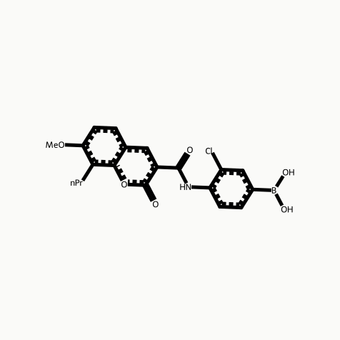 CCCc1c(OC)ccc2cc(C(=O)Nc3ccc(B(O)O)cc3Cl)c(=O)oc12